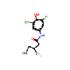 CC(CC(=O)Nc1cc(Cl)c(O)c(Cl)c1)CC(C)(C)C